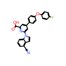 N#Cc1cccc2c1ccn2-c1cc(-c2ccc(Oc3ccc(F)cc3)cc2)cc(C(=O)O)n1